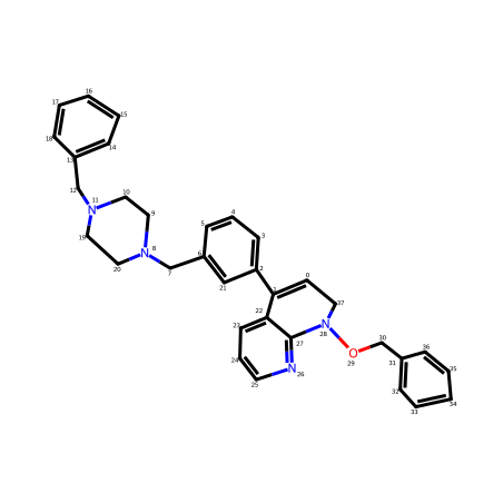 C1=C(c2cccc(CN3CCN(Cc4ccccc4)CC3)c2)c2cccnc2N(OCc2ccccc2)C1